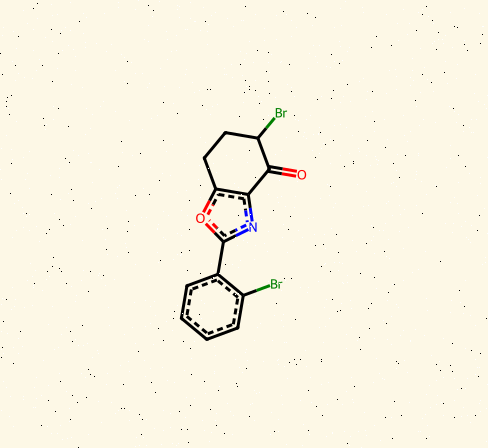 O=C1c2nc(-c3ccccc3Br)oc2CCC1Br